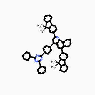 CC1(C)c2ccccc2-c2ccc(-c3cc(-c4ccc(-c5nc(-c6ccccc6)nc(-c6ccccc6)n5)cc4)c4cc(-c5ccc6c(c5)C(C)(C)c5ccccc5-6)c5ccccc5c4n3)cc21